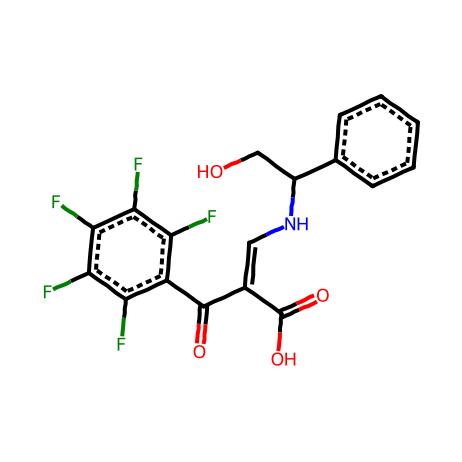 O=C(O)C(=CNC(CO)c1ccccc1)C(=O)c1c(F)c(F)c(F)c(F)c1F